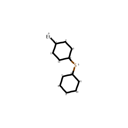 CCC1CCC(SC2CCCCC2)CC1